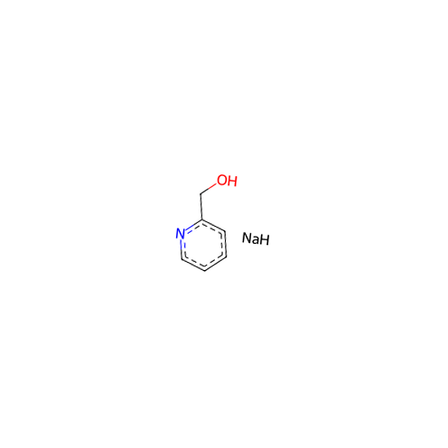 OCc1ccccn1.[NaH]